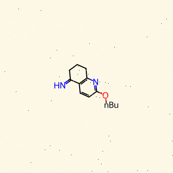 CCCCOc1ccc2c(n1)CCCC2=N